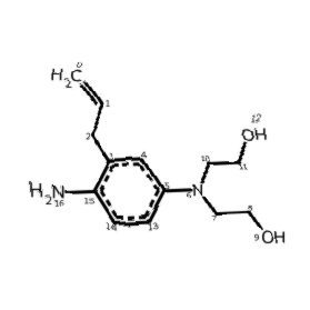 C=CCc1cc(N(CCO)CCO)ccc1N